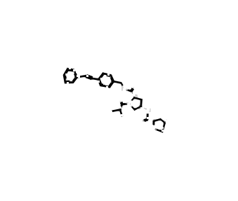 CC(C)C(=O)N1C[C@H](NC(=O)[C@@H]2C[C@H](F)CN2)C[C@@H]1C(=O)NCc1ccc(C#Cc2ccccc2)cc1